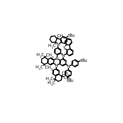 CC(C)(C)c1ccc(N(c2ccc(C(C)(C)C)cc2)c2cc3c4c(c2)N(c2cccc5c2sc2ccccc25)c2cc(N5c6ccc(C(C)(C)C)cc6C6(C)CCCCC56C)ccc2B4c2cc4c(cc2N3c2ccc3c(c2)C(C)(C)CCC3(C)C)C(C)(C)CCC4(C)C)cc1